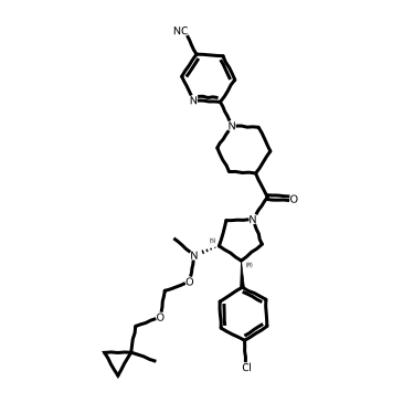 CN(OCOCC1(C)CC1)[C@@H]1CN(C(=O)C2CCN(c3ccc(C#N)cn3)CC2)C[C@H]1c1ccc(Cl)cc1